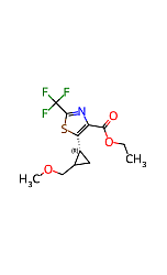 CCOC(=O)c1nc(C(F)(F)F)sc1[C@@H]1CC1COC